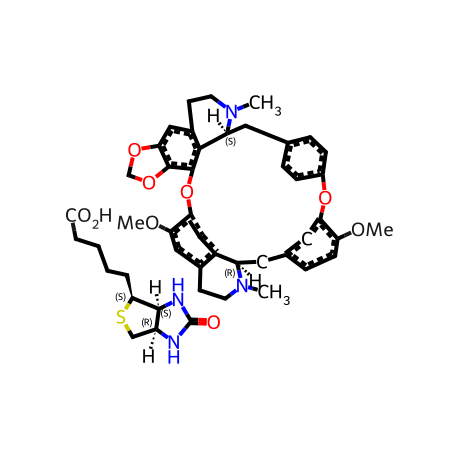 COc1ccc2cc1Oc1ccc(cc1)C[C@H]1c3c(cc4c(c3Oc3cc5c(cc3OC)CCN(C)[C@@H]5C2)OCO4)CCN1C.O=C(O)CCCC[C@@H]1SC[C@@H]2NC(=O)N[C@@H]21